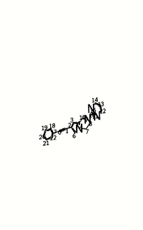 C(#Cc1cc2n(c1)CCN(c1ncccn1)C2)c1ccccc1